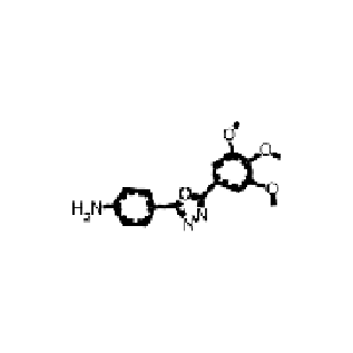 COc1cc(-c2nnc(-c3ccc(N)cc3)o2)cc(OC)c1OC